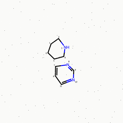 C1CCNCC1.c1cncnc1